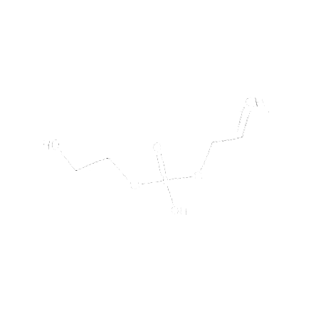 C=CCOP(=O)(O)OCCO